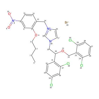 CCCCOc1cc([N+](=O)[O-])ccc1C[n+]1ccn(CC(OCc2c(Cl)cccc2Cl)c2ccc(Cl)cc2Cl)c1.[Br-]